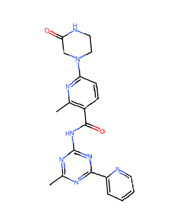 Cc1nc(NC(=O)c2ccc(N3CCNC(=O)C3)nc2C)nc(-c2ccccn2)n1